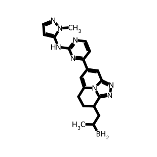 BC(C)CC1CCc2cc(-c3ccnc(Nc4ccnn4C)n3)cc3nnc1n23